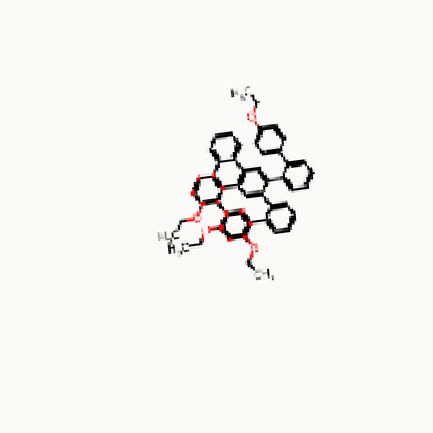 CCOc1ccc(-c2ccccc2-c2cc(-c3ccccc3-c3ccc(OCC)cc3)c(-c3ccccc3-c3ccc(OCC)cc3)cc2-c2ccccc2-c2ccc(OCC)cc2)cc1